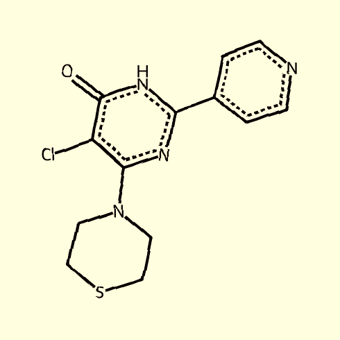 O=c1[nH]c(-c2ccncc2)nc(N2CCSCC2)c1Cl